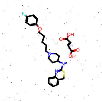 CN(C1=Nc2ccccc2CS1)C1CCN(CCCCCOc2ccc(F)cc2)CC1.O=C(O)/C=C/C(=O)O